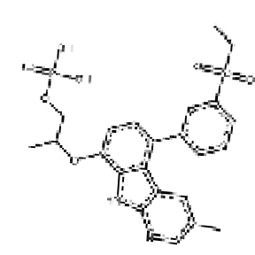 CCS(=O)(=O)c1cccc(-c2ccc(OC(C)COP(=O)(O)O)c3[nH]c4ncc(C)cc4c23)c1